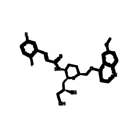 COc1ccc2nccc(OC[C@@H]3CC[C@@H](NC(=O)C=Cc4cc(F)ccc4F)[C@@H](C[C@H](O)CO)O3)c2c1